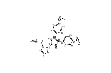 C#CCn1cccc1-c1nc(-c2ccc(OC)cc2)c(-c2ccc(OC)cc2)s1